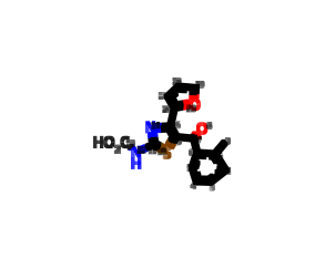 Cc1ccccc1C(=O)c1sc(NC(=O)O)nc1-c1ccco1